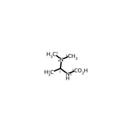 CC(NC(=O)O)N(C)C